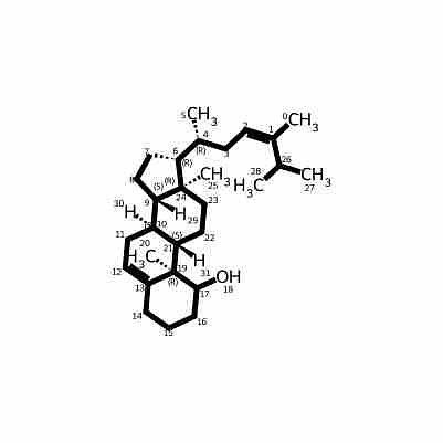 CC(=CC[C@@H](C)[C@H]1CC[C@H]2[C@@H]3CC=C4CCCC(O)[C@]4(C)[C@H]3CC[C@]12C)C(C)C